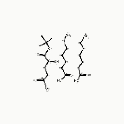 CC(C)(C)OC(=O)[C@@H](N)CCC(=O)O.NCCCCCC(=O)O.NCCCCCC(=O)O